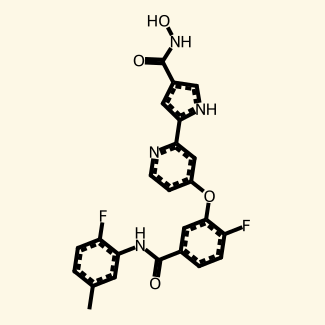 Cc1ccc(F)c(NC(=O)c2ccc(F)c(Oc3ccnc(-c4cc(C(=O)NO)c[nH]4)c3)c2)c1